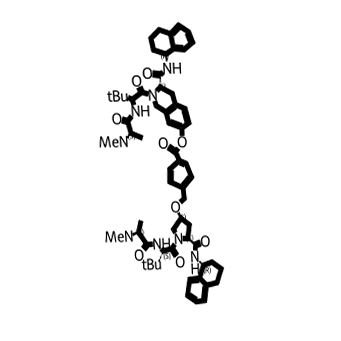 CN[C@@H](C)C(=O)NC(C(=O)N1Cc2cc(OC(=O)c3ccc(CO[C@H]4C[C@@H](C(=O)N[C@@H]5CCCc6ccccc65)N(C(=O)[C@@H](NC(=O)[C@H](C)NC)C(C)(C)C)C4)cc3)ccc2C[C@H]1C(=O)N[C@@H]1CCCc2ccccc21)C(C)(C)C